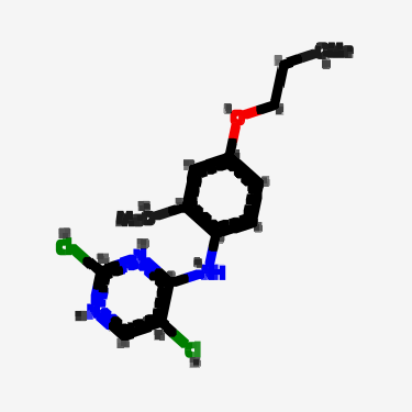 COCCOc1ccc(Nc2nc(Cl)ncc2Cl)c(OC)c1